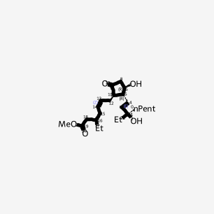 CCCCC[C@@](O)(/C=C/[C@H]1[C@H](O)CC(=O)[C@@H]1C/C=C\CC(CC)CC(=O)OC)CC